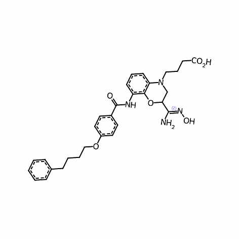 N/C(=N\O)C1CN(CCCC(=O)O)c2cccc(NC(=O)c3ccc(OCCCCc4ccccc4)cc3)c2O1